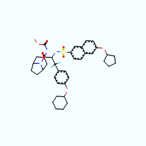 CC(C)(C)OC(=O)NC1CC2CCC(C1)N2C(=O)C(NS(=O)(=O)c1ccc2cc(OC3CCCC3)ccc2c1)C(F)(F)c1ccc(OC2CCCCC2)cc1